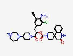 C#Cc1cc(C[C@@H](OC(=O)N2CCC3(CC2)CC(=O)Nc2ccccc23)C(=O)N2CCC(N3CCCN(C)CC3)CC2)cc(Cl)c1N